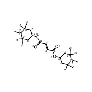 CN1C(C)(C)CC(OC(=O)C=CC(=O)OC2CC(C)(C)N(C)C(C)(C)C2)CC1(C)C